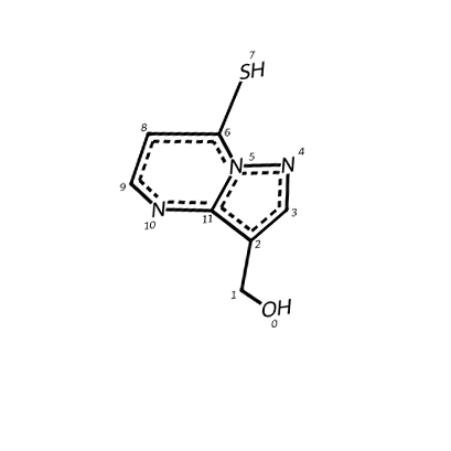 OCc1cnn2c(S)ccnc12